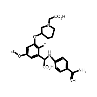 CCOc1cc(OC2CCCN(CC(=O)O)C2)c(F)c(C(Nc2ccc(C(=N)N)cc2)C(=O)O)c1